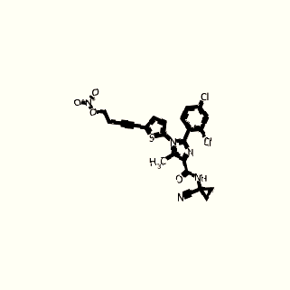 Cc1c(C(=O)NC2(C#N)CC2)nc(-c2ccc(Cl)cc2Cl)n1-c1ccc(C#CCCO[N+](=O)[O-])s1